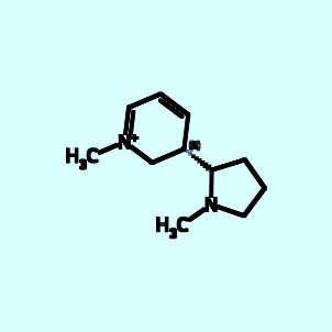 CN1CCCC1[C@H]1C=CC=[N+](C)C1